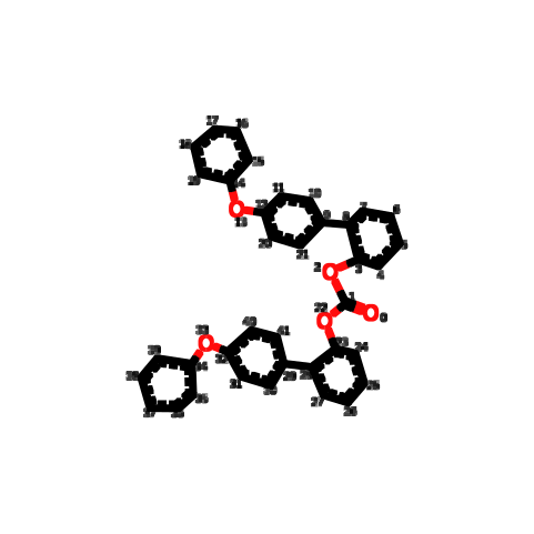 O=C(Oc1ccccc1-c1ccc(Oc2ccccc2)cc1)Oc1ccccc1-c1ccc(Oc2ccccc2)cc1